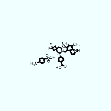 COc1cc(C)c2[nH]ccc2c1CN1CCC2(C[C@H]1c1ccc(C(=O)O)cc1)CC(F)(F)C2.Cc1ccc(S(=O)(=O)O)cc1